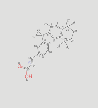 Cc1cc2c(cc1C1(c3cccc(/C=C/C(=O)O)c3)CC1)C(C)(C)CCC2(C)C